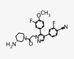 COc1ccc(-c2c(-c3ccc(C#N)c(F)c3)cnn2CC(=O)N2CCC[C@@H](N)C2)cc1F